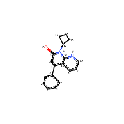 O=c1cc(-c2ccccc2)c2cccnc2n1C1CCC1